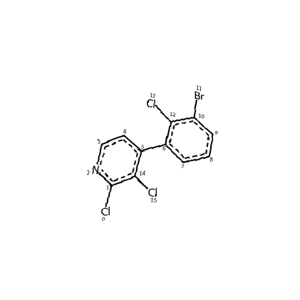 Clc1nccc(-c2cccc(Br)c2Cl)c1Cl